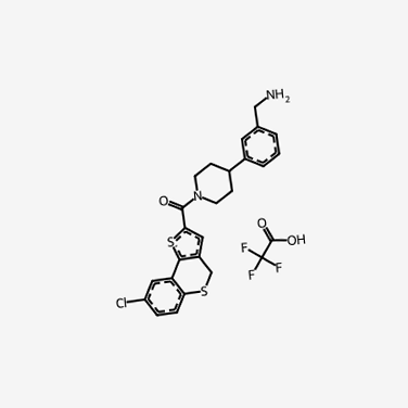 NCc1cccc(C2CCN(C(=O)c3cc4c(s3)-c3cc(Cl)ccc3SC4)CC2)c1.O=C(O)C(F)(F)F